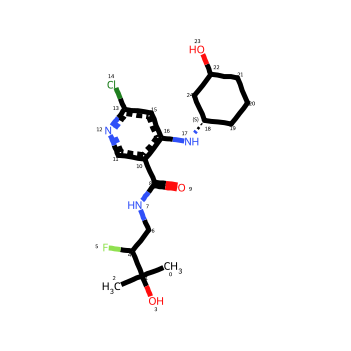 CC(C)(O)C(F)CNC(=O)c1cnc(Cl)cc1N[C@H]1CCCC(O)C1